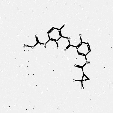 CC(C)(C)OC(=O)Nc1ccc(F)c(NC(=O)c2cc(NC(=O)[C@H]3CC3(Cl)Cl)ccc2Cl)c1F